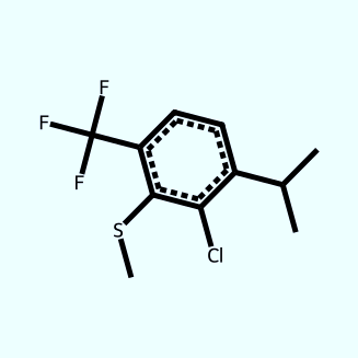 CSc1c(C(F)(F)F)ccc(C(C)C)c1Cl